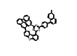 CC1C=Cc2c(cccc2-c2ccc(-c3nc(-c4ccc5ccccc5c4)nc(-c4cccc5oc6ccc(-c7ccc8ccccc8c7)cc6c45)n3)cc2)C1